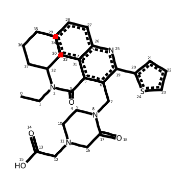 CCN(C(=O)c1c(CN2CCN(CC(=O)O)CC2=O)c(-c2cccs2)nc2ccccc12)C1CCCCC1